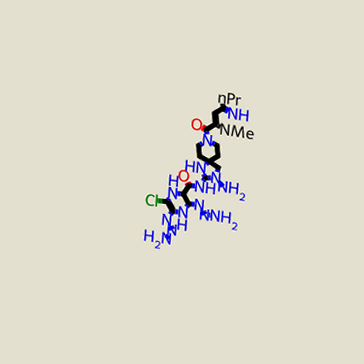 CCCC(=N)/C=C(\NC)C(=O)N1CCC2(CC1)CN(N)C(NC(=O)C1NC(Cl)=C(N=NN)NC1N=NN)N2